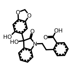 O=C(O)c1ccccc1CCN1C(=O)C(O)(c2cc3c(cc2O)OCO3)c2ccccc21